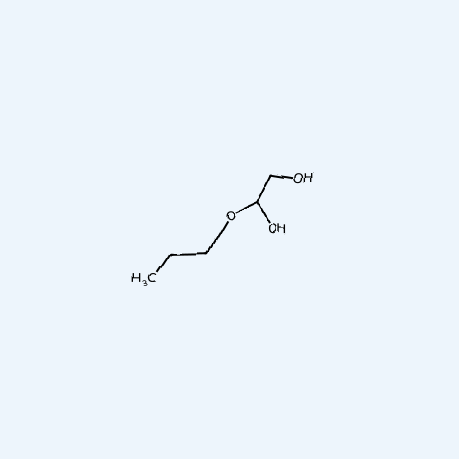 CCCOC(O)CO